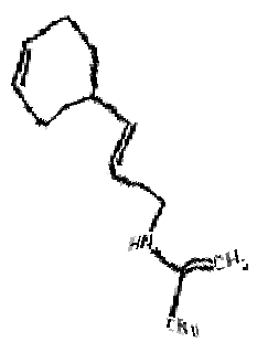 C=C(NC/C=C/C1CC=CCC1)C(C)(C)C